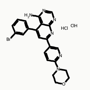 Cl.Cl.Nc1ncnc2nc(-c3ccc(N4CCOCC4)nc3)cc(-c3cccc(Br)c3)c12